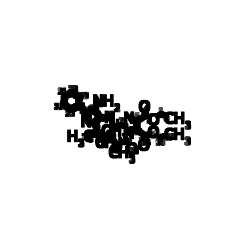 CCOC(=O)c1nc(/N=N/c2c(C(C)(C)C)nn(-c3ccccc3)c2N)n(C(=O)N(C)C)c1C(=O)OCC